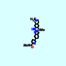 CNC(=O)c1ccc(-c2ccc3cnc(Nc4cc5c(cc4OC)CCN(C)C5)nc3c2)cn1